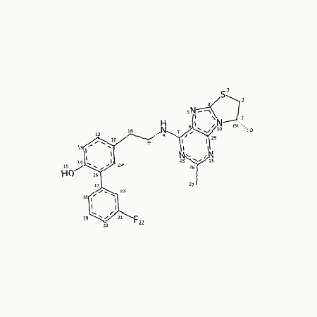 C[C@H]1CSc2nc3c(NCCc4ccc(O)c(-c5cccc(F)c5)c4)nc(I)nc3n21